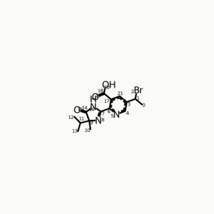 CC(Br)c1cnc(C2=NC(C)(C(C)C)C(=O)N2)c(C(=O)O)c1